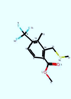 COC(=O)c1ccc(C(F)(F)F)c(C)c1CSC